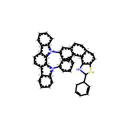 C1=CCC(C2Nc3c(ccc4ccc5cc(-n6c7ccccc7c7ccc8c9ccccc9n(-c9ccccc9)c8c76)ccc5c34)S2)C=C1